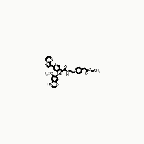 CCOC(=O)CC1CCN(CCNC(=O)c2nn(-c3cc4c(cc3OC)NCCO4)c3cc(-c4cnn5cccnc45)ncc23)CC1